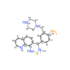 CN1SNc2c(ccc3cccnc23)C1c1ccc(P)c(CN2CCNCC2)c1